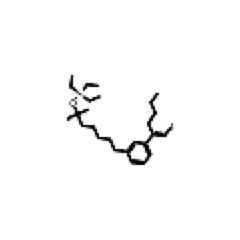 CCCC/C(=C\I)c1cccc(CCCCCC(C)(C)O[Si](CC)(CC)CC)c1